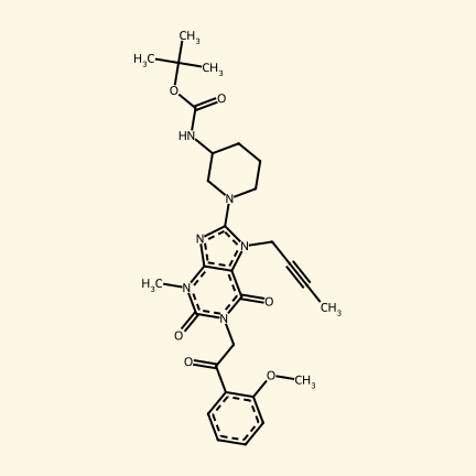 CC#CCn1c(N2CCCC(NC(=O)OC(C)(C)C)C2)nc2c1c(=O)n(CC(=O)c1ccccc1OC)c(=O)n2C